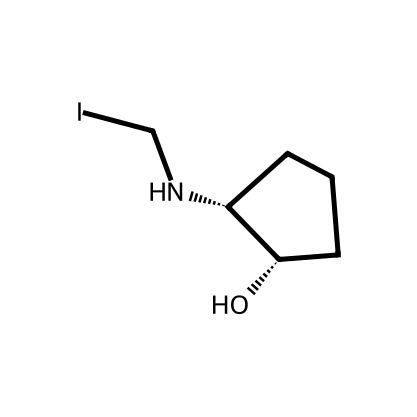 O[C@H]1CCC[C@H]1NCI